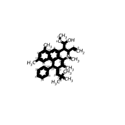 C=CC1C(C(O)OC)c2cc3c(C)cc(C)cc3c3c2C(=C(C)/C(=C\C(C)(C)C)C3c2ccccc2)N1C